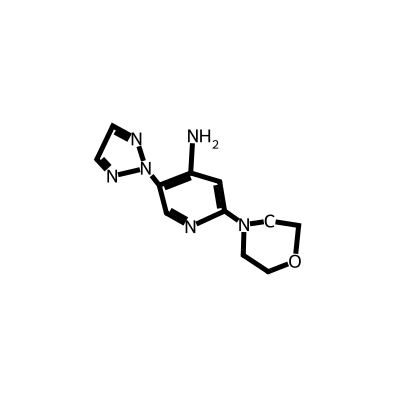 Nc1cc(N2CCOCC2)ncc1-n1nccn1